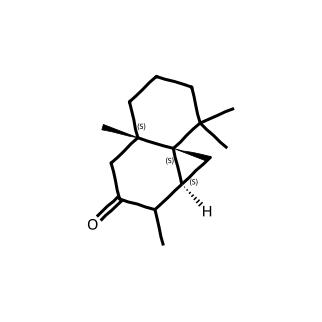 CC1C(=O)C[C@]2(C)CCCC(C)(C)[C@@]23C[C@@H]13